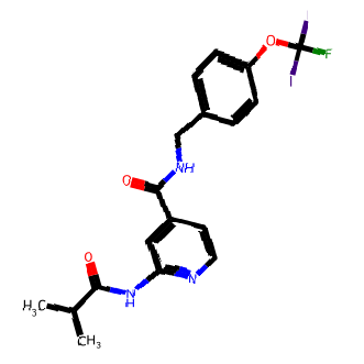 CC(C)C(=O)Nc1cc(C(=O)NCc2ccc(OC(F)(I)I)cc2)ccn1